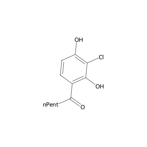 CCCCCC(=O)c1ccc(O)c(Cl)c1O